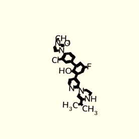 CC(C)C1=CN(c2cc(-c3cc(F)cc(-c4ccc(-n5ccn(C)c5=O)c(Cl)c4)c3O)ccn2)CCN1